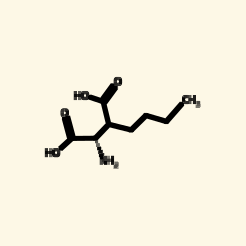 CCCCC(C(=O)O)[C@H](N)C(=O)O